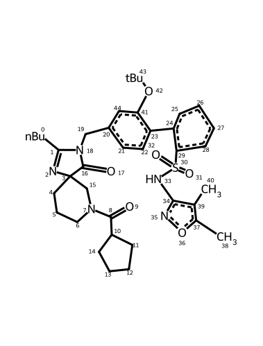 CCCCC1=NC2(CCCN(C(=O)C3CCCC3)C2)C(=O)N1Cc1ccc(-c2ccccc2S(=O)(=O)Nc2noc(C)c2C)c(OC(C)(C)C)c1